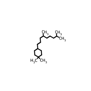 CC(C)CCCC(C)CCCC1CCC(C)(C)CC1